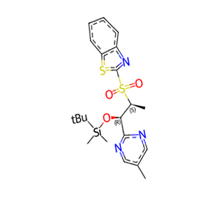 Cc1cnc([C@@H](O[Si](C)(C)C(C)(C)C)[C@H](C)S(=O)(=O)c2nc3ccccc3s2)nc1